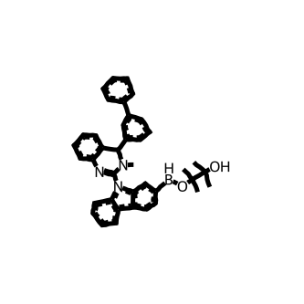 CN1C(n2c3ccccc3c3ccc(BOC(C)(C)C(C)(C)O)cc32)=Nc2ccccc2C1c1cccc(-c2ccccc2)c1